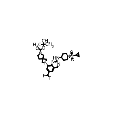 CC(C)(C)OC(=O)N1CCC2(C1)CN(c1cc(C(F)F)cc3cnc(NC4CCN(S(=O)(=O)C5CC5)CC4)nc13)C2